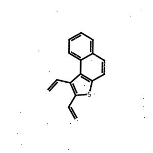 C=Cc1sc2ccc3ccccc3c2c1C=C